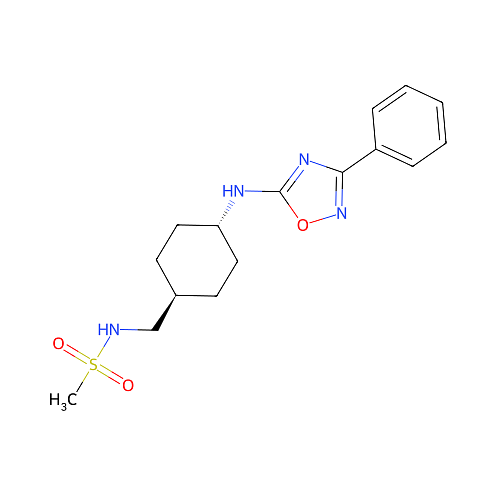 CS(=O)(=O)NC[C@H]1CC[C@H](Nc2nc(-c3ccccc3)no2)CC1